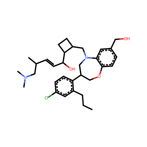 CCCc1cc(Cl)ccc1C1COc2ccc(CO)cc2N(CC2CCC2C(O)/C=C/C(C)CN(C)C)C1